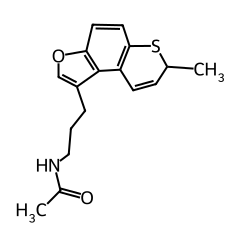 CC(=O)NCCCc1coc2ccc3c(c12)C=CC(C)S3